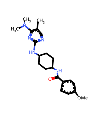 COc1ccc(C(=O)NC2CCC(Nc3ncc(C)c(N(C)C)n3)CC2)cc1